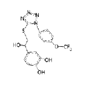 Oc1ccc(C(O)CSc2nnnn2-c2ccc(OC(F)(F)F)cc2)cc1O